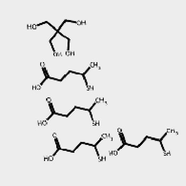 CC(S)CCC(=O)O.CC(S)CCC(=O)O.CC(S)CCC(=O)O.CC(S)CCC(=O)O.OCC(CO)(CO)CO